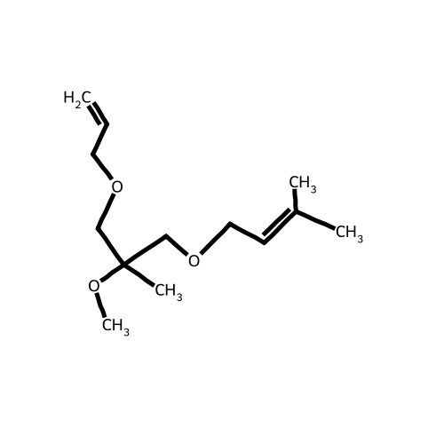 C=CCOCC(C)(COCC=C(C)C)OC